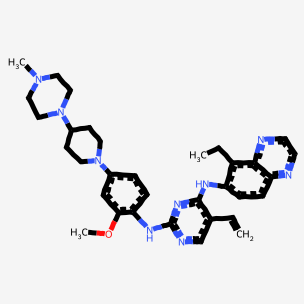 C=Cc1cnc(Nc2ccc(N3CCC(N4CCN(C)CC4)CC3)cc2OC)nc1Nc1ccc2nccnc2c1CC